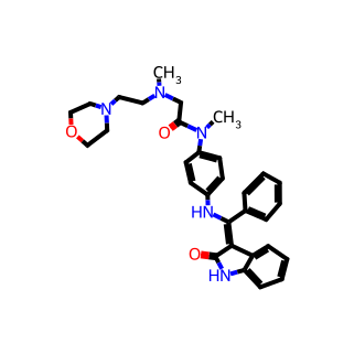 CN(CCN1CCOCC1)CC(=O)N(C)c1ccc(N/C(=C2\C(=O)Nc3ccccc32)c2ccccc2)cc1